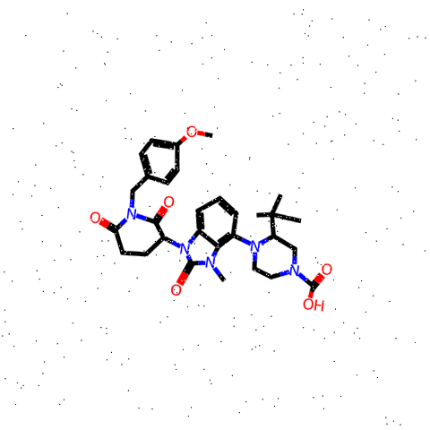 COc1ccc(CN2C(=O)CCC(n3c(=O)n(C)c4c(N5CCN(C(=O)O)CC5C(C)(C)C)cccc43)C2=O)cc1